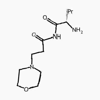 CC(C)[C@H](N)C(=O)NC(=O)CCN1CCOCC1